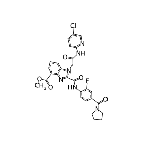 COC(=O)c1cccc2c1nc(C(=O)Nc1ccc(C(=O)N3CCCC3)cc1F)n2CC(=O)Nc1ccc(Cl)cn1